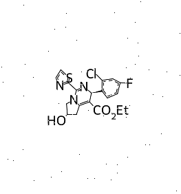 CCOC(=O)C1=C2C[C@H](O)CN2C(c2nccs2)=N[C@H]1c1ccc(F)cc1Cl